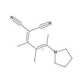 CC(=C(C#N)C#N)/C(I)=C(\C)N1CCCC1